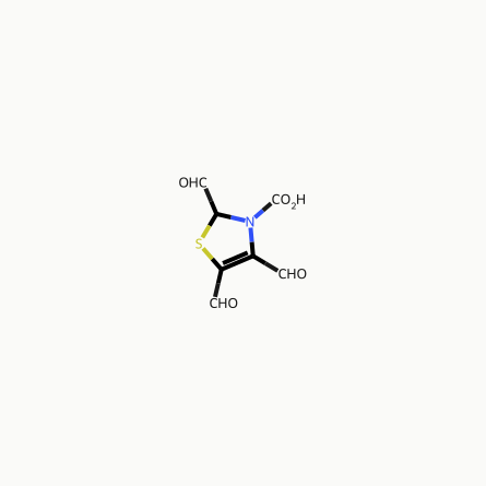 O=CC1=C(C=O)N(C(=O)O)C(C=O)S1